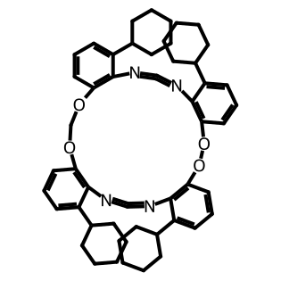 C1=Nc2c(cccc2C2CCCCC2)OCOc2cccc(C3CCCCC3)c2N=C=Nc2c(cccc2C2CCCCC2)OOc2cccc(C3CCCCC3)c2N=1